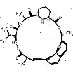 CC(C)[C@@H]1NCC(=O)[C@H](C)/C=C/c2ccc3ccc(nc3c2)[C@@H](C)OC(=O)[C@@H]2CCCN(N2)C(=O)[C@H](C)NC1=O